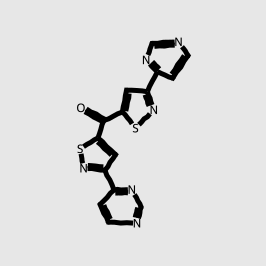 O=C(c1cc(-c2ccncn2)ns1)c1cc(-c2ccncn2)ns1